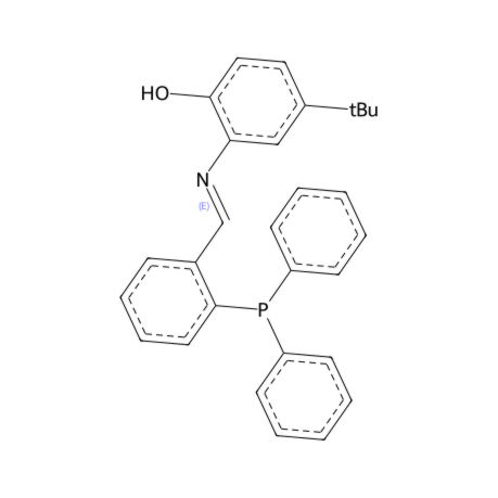 CC(C)(C)c1ccc(O)c(/N=C/c2ccccc2P(c2ccccc2)c2ccccc2)c1